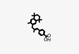 CC(=Cc1ccc(C(=O)O)cc1)Cc1cc2c(cc1C)C(C)(C)CCC2(C)C